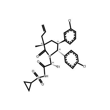 C=CC[C@]1(C)C[C@@H](c2cccc(Cl)c2)[C@H](c2ccc(Cl)cc2)N([C@H](CC)C(=O)NS(=O)(=O)C2CC2)C1=O